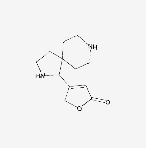 O=C1C=C(C2NCCC23CCNCC3)CO1